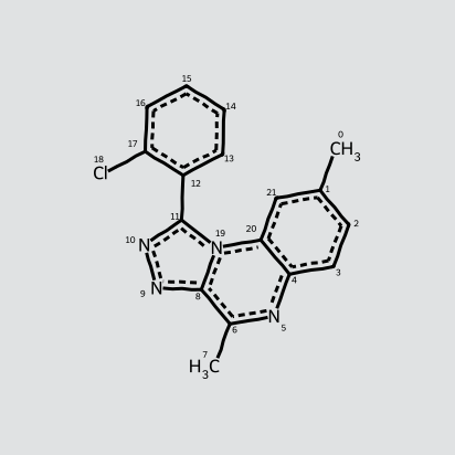 Cc1ccc2nc(C)c3nnc(-c4ccccc4Cl)n3c2c1